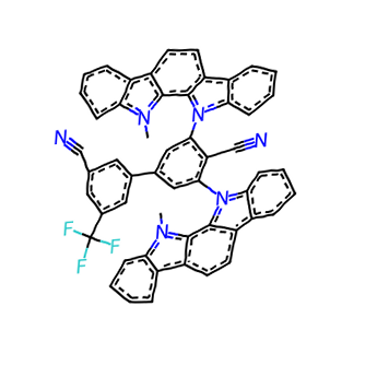 Cn1c2ccccc2c2ccc3c4ccccc4n(-c4cc(-c5cc(C#N)cc(C(F)(F)F)c5)cc(-n5c6ccccc6c6ccc7c8ccccc8n(C)c7c65)c4C#N)c3c21